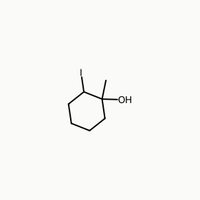 CC1(O)CCCCC1I